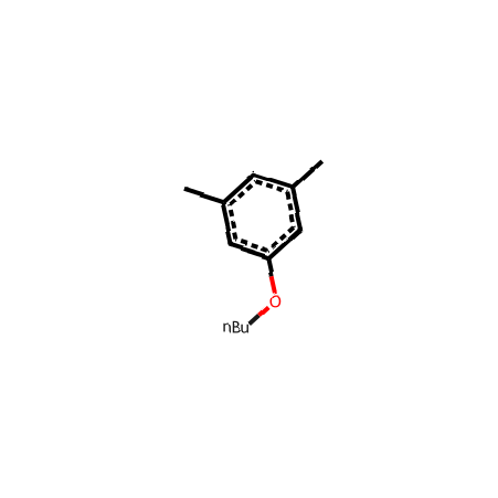 CCCCOc1cc(C)[c]c(C)c1